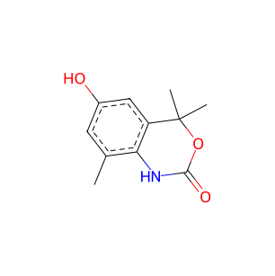 Cc1cc(O)cc2c1NC(=O)OC2(C)C